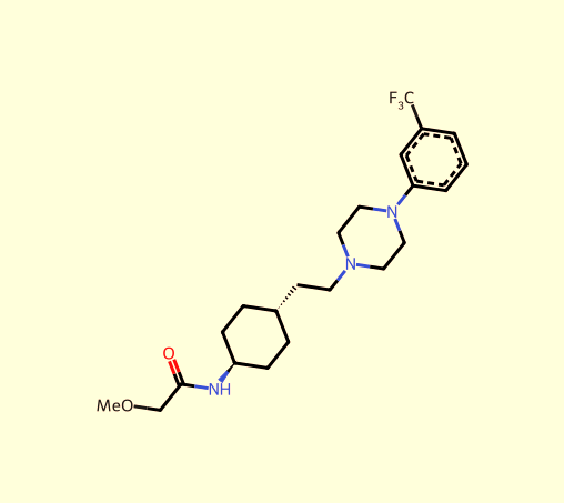 COCC(=O)N[C@H]1CC[C@H](CCN2CCN(c3cccc(C(F)(F)F)c3)CC2)CC1